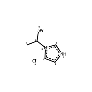 CCCC(C)[n+]1cc[nH]c1.[Cl-]